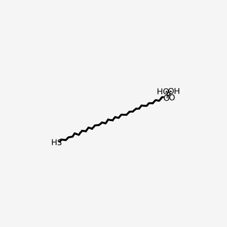 O=P(O)(O)OCCCCCCCCCCCCCCCCCCCCCCCCCCCCCCCS